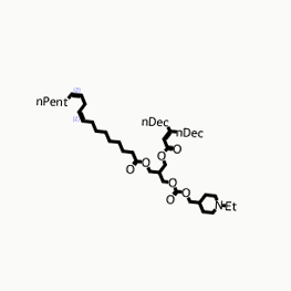 CCCCC/C=C\C/C=C\CCCCCCCC(=O)OCC(COC(=O)C=C(CCCCCCCCCC)CCCCCCCCCC)COC(=O)OCC1CCN(CC)CC1